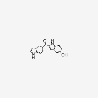 O=C(c1ccc2[nH]ccc2c1)c1cc2cc(O)ccc2[nH]1